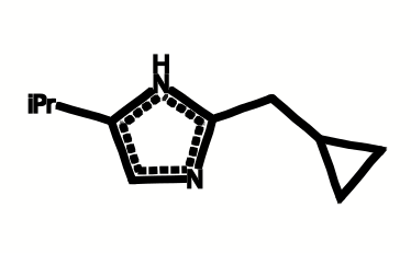 CC(C)c1cnc(CC2CC2)[nH]1